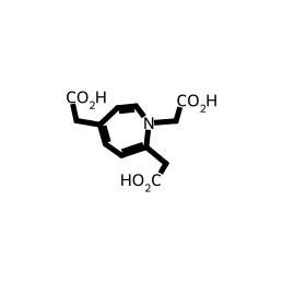 O=C(O)CC1=CC=C(CC(=O)O)N(CC(=O)O)C=C1